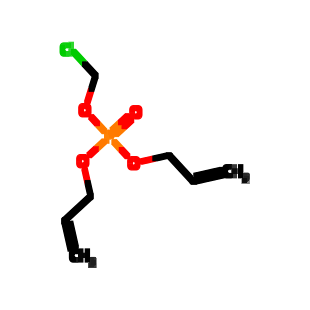 C=CCOP(=O)(OCCl)OCC=C